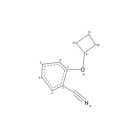 N#Cc1c[c]ccc1OC1CCC1